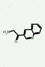 NCC(=O)c1cnc2ccccc2c1